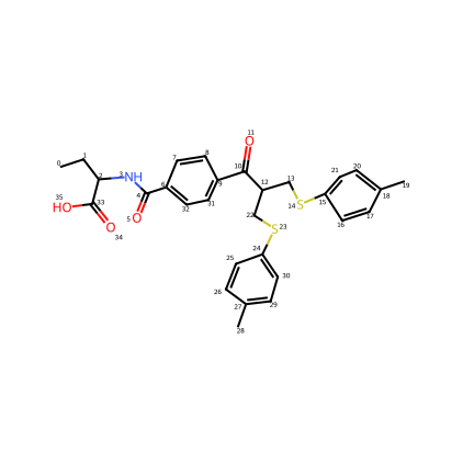 CCC(NC(=O)c1ccc(C(=O)C(CSc2ccc(C)cc2)CSc2ccc(C)cc2)cc1)C(=O)O